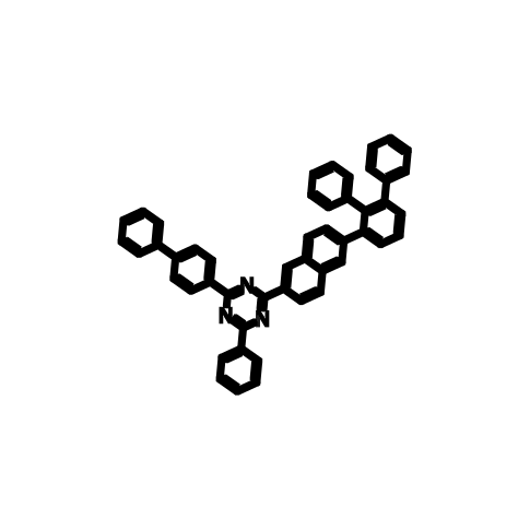 c1ccc(-c2ccc(-c3nc(-c4ccccc4)nc(-c4ccc5cc(-c6cccc(-c7ccccc7)c6-c6ccccc6)ccc5c4)n3)cc2)cc1